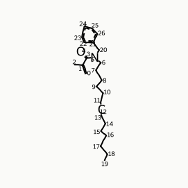 C=C(C)C(=O)N(CCCCCCCCCCCCCC)Cc1ccccc1